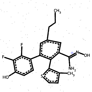 CCCc1cc(/C(N)=N/O)c(-c2sccc2C)c(-c2ccc(O)c(F)c2F)c1